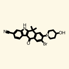 CC1(C)c2cc(N3CCC(O)CC3)c(Br)cc2C(=O)c2c1[nH]c1cc(C#N)ccc21